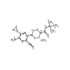 C[C@@H]1CN(c2nc(C3CC3)c(N)cc2C#N)CCN1C(=O)OC(C)(C)C